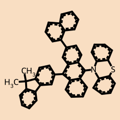 CC1(C)c2ccccc2-c2cc(-c3c4ccccc4c(N4c5ccccc5Sc5ccccc54)c4ccc(-c5cccc6ccccc56)cc34)ccc21